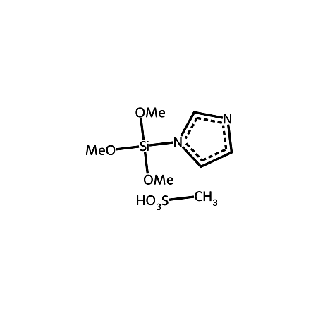 CO[Si](OC)(OC)n1ccnc1.CS(=O)(=O)O